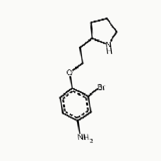 Nc1ccc(OCCC2CCCN2)c(Br)c1